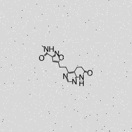 CNC(=O)c1cc(CCc2ncnc3c2CCC(=O)N3)on1